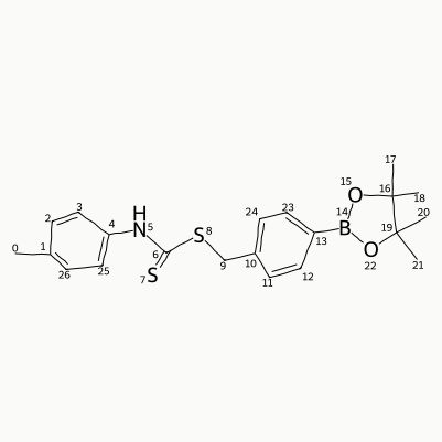 Cc1ccc(NC(=S)SCc2ccc(B3OC(C)(C)C(C)(C)O3)cc2)cc1